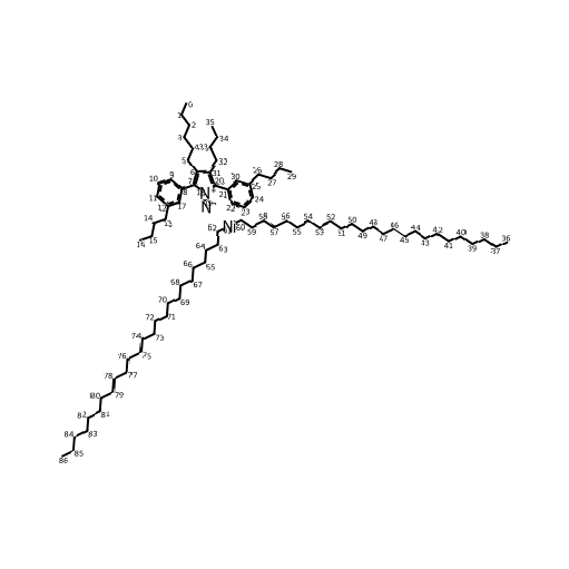 CCCCCCC1=C(c2cccc(CCCC)c2)[N+](=[N-])C(c2cccc(CCCC)c2)=C1CCCC.CCCCCCCCCCCCCCCCCCCCCCCC[CH2][Ni][CH2]CCCCCCCCCCCCCCCCCCCCCCCC